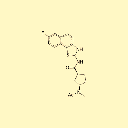 CC(=O)N(C)[C@@H]1CC[C@H](C(=O)NC2Nc3ccc4cc(F)ccc4c3S2)C1